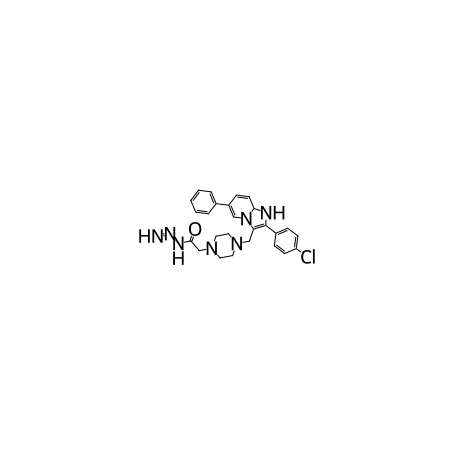 N=NNC(=O)CN1CCN(CC2=C(c3ccc(Cl)cc3)NC3C=CC(c4ccccc4)=CN23)CC1